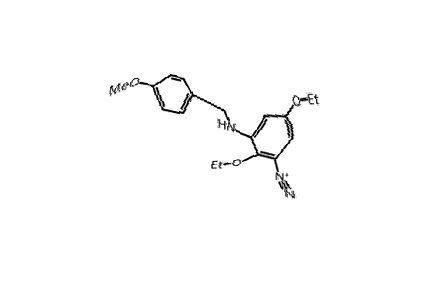 CCOc1cc([N+]#N)c(OCC)c(NCc2ccc(OC)cc2)c1